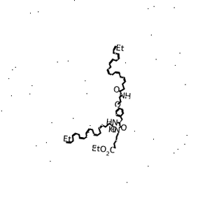 CC/C=C\C/C=C\C/C=C\C/C=C\C/C=C\C/C=C\CCC(=O)NCCOc1ccc(C[C@H](NC(=O)CC/C=C\C/C=C\C/C=C\C/C=C\C/C=C\C/C=C\CC)C(=O)NCCCCCC(=O)OCC)cc1